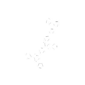 c1ccc(-c2cc(-c3ccc(-c4nc5ccc(-c6ccc(-c7cccc8oc9ccccc9c78)cc6)cc5c5c4oc4ccccc45)cc3)nc(-c3ccccc3)n2)cc1